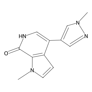 Cn1cc(-c2c[nH]c(=O)c3c2ccn3C)cn1